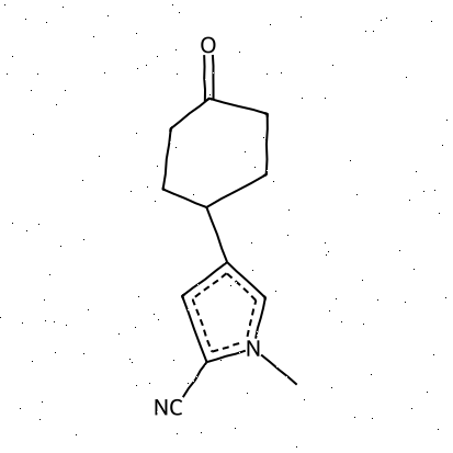 Cn1cc(C2CCC(=O)CC2)cc1C#N